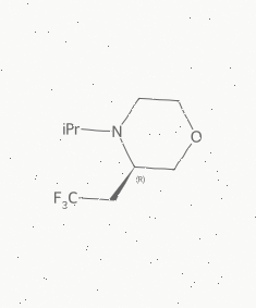 CC(C)N1CCOC[C@H]1CC(F)(F)F